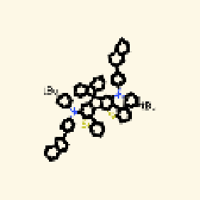 CC(C)(C)c1ccc(N(c2ccc(-c3ccc4ccccc4c3)cc2)c2cc3c(c4c2sc2ccccc24)-c2c(cc(N(c4ccc(-c5ccc6ccccc6c5)cc4)c4ccc(C(C)(C)C)cc4)c4c2sc2ccccc24)C3(c2ccccc2)c2ccccc2)cc1